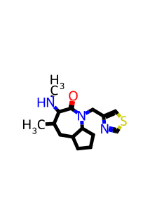 CNC1C(=O)N(Cc2cscn2)C2CCCC2CC1C